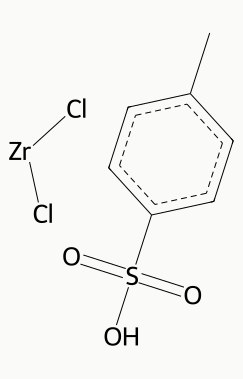 Cc1ccc(S(=O)(=O)O)cc1.[Cl][Zr][Cl]